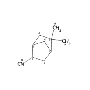 [C-]#[N+]C1CC2CC1CC2(C)C